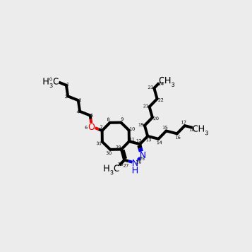 CCCCCCOC1CCCC2C(C(CCCCC)CCCCCC)=NNC(C)=C2CC1